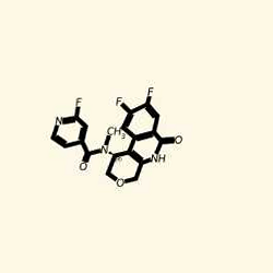 CN(C(=O)c1ccnc(F)c1)[C@H]1COCc2[nH]c(=O)c3cc(F)c(F)cc3c21